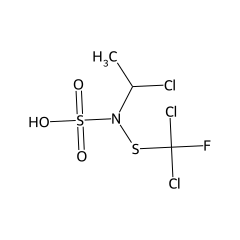 CC(Cl)N(SC(F)(Cl)Cl)S(=O)(=O)O